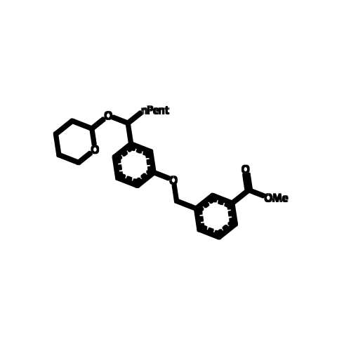 CCCCCC(OC1CCCCO1)c1cccc(OCc2cccc(C(=O)OC)c2)c1